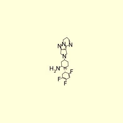 NC1CC(N2Cc3nn4c(c3C2)N=CCC4)CC[C@@H]1C1CC(F)=C(F)C=C1F